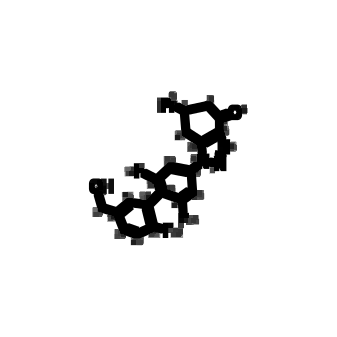 CC(C)C1CC(=O)c2nnn(-c3cc(F)c(-c4cc(CO)ccc4F)c(F)c3)c2C1